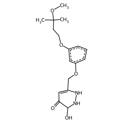 COC(C)(C)CCOc1cccc(OCC2=CC(=O)C(O)NN2)c1